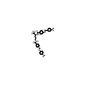 CN(C)c1ccc(/N=N/c2ccc(C(=O)NCCCC(NC(=O)c3ccc(/N=N/c4ccc(N(C)C)cc4)cc3)C(=O)O)cc2)cc1